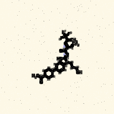 C=C/C(=C\C(C)C(F)(F)F)C(=O)/N=c1\[nH]c2cc(C3CCN(C(C)=O)CC3)ccc2n1CCCO